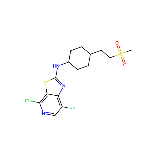 CS(=O)(=O)CCC1CCC(Nc2nc3c(F)cnc(Cl)c3s2)CC1